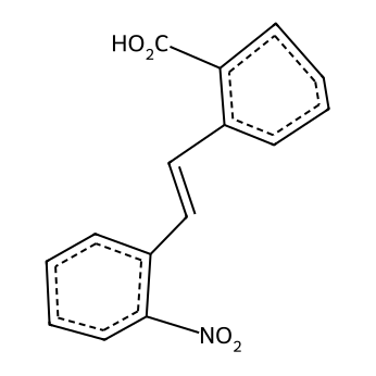 O=C(O)c1ccccc1C=Cc1ccccc1[N+](=O)[O-]